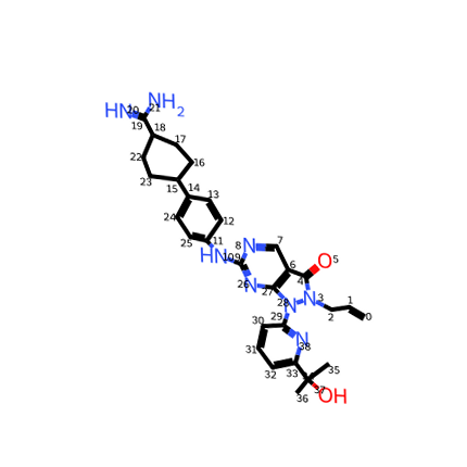 C=CCn1c(=O)c2cnc(Nc3ccc(C4CCC(C(=N)N)CC4)cc3)nc2n1-c1cccc(C(C)(C)O)n1